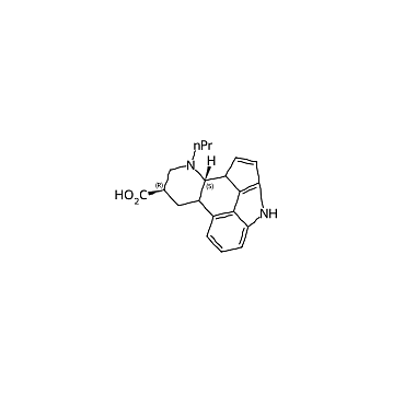 CCCN1C[C@H](C(=O)O)CC2c3cccc4[nH]c5c(c34)C(C=C5)[C@H]21